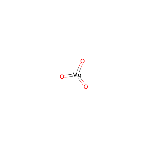 [O]=[Mo](=[O])=[O]